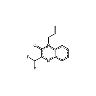 C=CCn1c(=O)c(C(F)F)nc2ccccc21